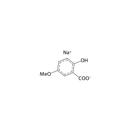 COc1ccc(O)c(C(=O)[O-])c1.[Na+]